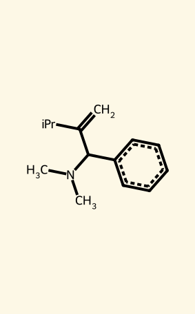 C=C(C(C)C)C(c1ccccc1)N(C)C